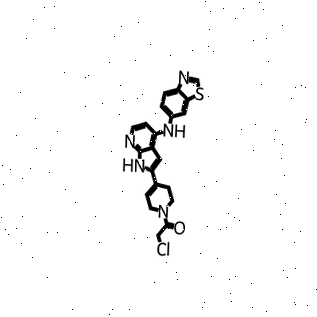 O=C(CCl)N1CC=C(c2cc3c(Nc4ccc5ncsc5c4)ccnc3[nH]2)CC1